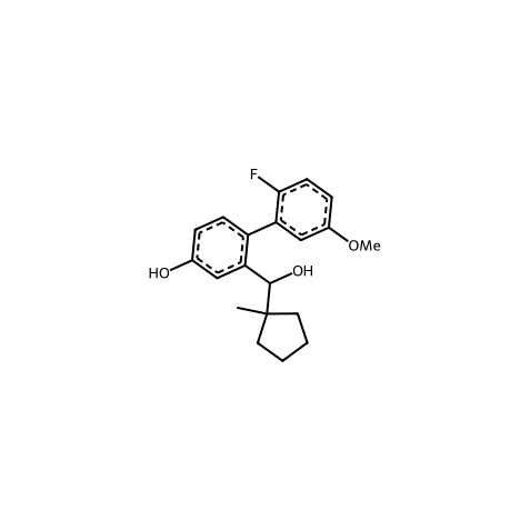 COc1ccc(F)c(-c2ccc(O)cc2C(O)C2(C)CCCC2)c1